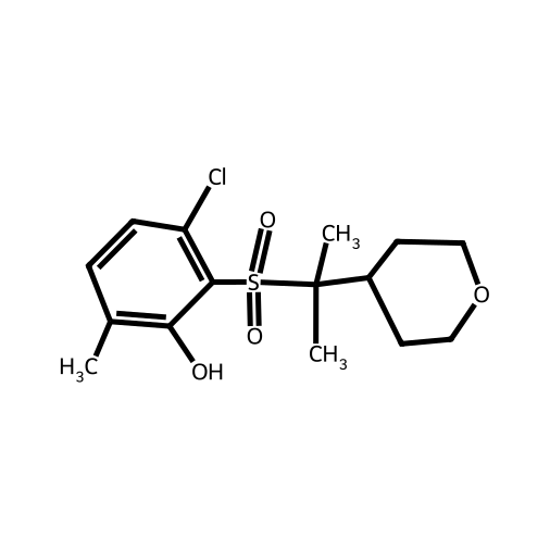 Cc1ccc(Cl)c(S(=O)(=O)C(C)(C)C2CCOCC2)c1O